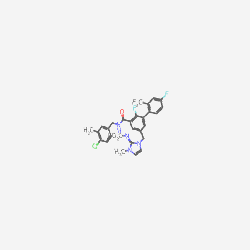 Cc1cc(CNC(=O)c2cc(Cn3ccn(C)c3=NC(=O)O)cc(-c3ccc(F)cc3C(F)(F)F)c2F)ccc1Cl